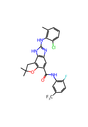 Cc1cccc(Cl)c1Nc1nc2cc(C(=O)Nc3cc(C(F)(F)F)ccc3F)c3c(c2[nH]1)CC(C)(C)O3